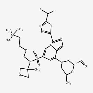 C[C@H]1CN(c2cc(S(=O)(=O)N(COCC[Si](C)(C)C)C3(C)COC3)cn3c(-c4nnc(C(F)F)s4)ncc23)C[C@H](C=O)O1